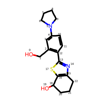 OCc1cc(N2CCCC2)ccc1-c1nc2c(s1)C(O)CCC2